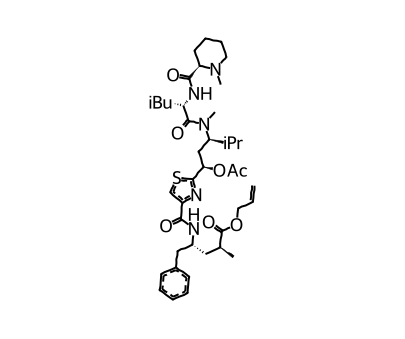 C=CCOC(=O)[C@@H](C)C[C@H](Cc1ccccc1)NC(=O)c1csc([C@@H](C[C@H](C(C)C)N(C)C(=O)[C@@H](NC(=O)[C@H]2CCCCN2C)[C@@H](C)CC)OC(C)=O)n1